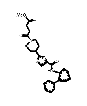 COC(=O)CCC(=O)N1CCC(c2nc(C(=O)Nc3ccccc3-c3ccccc3)cs2)CC1